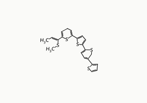 C/C=C(\SC)C1=CCC=C(c2ccc(C3=CC=C(c4cccs4)CS3)s2)S1